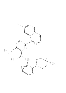 C=C(Nc1ncccc1N1CCC(C)(N)CC1)c1nc(-c2nccc3ccc(F)cc23)cnc1N